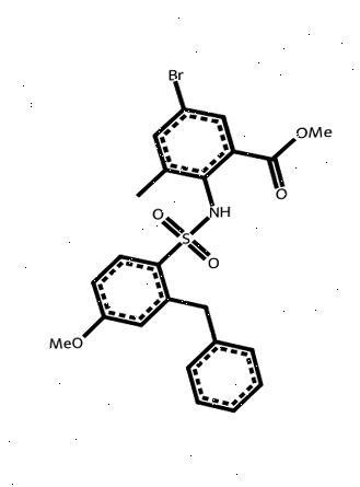 COC(=O)c1cc(Br)cc(C)c1NS(=O)(=O)c1ccc(OC)cc1Cc1ccccc1